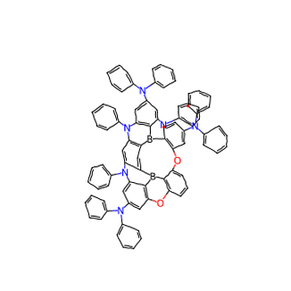 c1ccc(N(c2ccccc2)c2cc3c4c(c2)N(c2ccccc2)c2cc5c6cc2B4c2c(cccc2Oc2cc(N(c4ccccc4)c4ccccc4)cc4c2B6c2c(cc(N(c6ccccc6)c6ccccc6)cc2N4c2ccccc2)N5c2ccccc2)O3)cc1